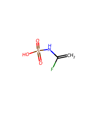 C=C(F)NS(=O)(=O)O